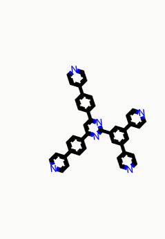 c1cc(-c2ccc(-c3cc(-c4ccc(-c5ccncc5)cc4)nc(-c4cc(-c5ccncc5)cc(-c5ccncc5)c4)n3)cc2)ccn1